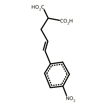 O=C(O)C(CC=Cc1ccc([N+](=O)[O-])cc1)C(=O)O